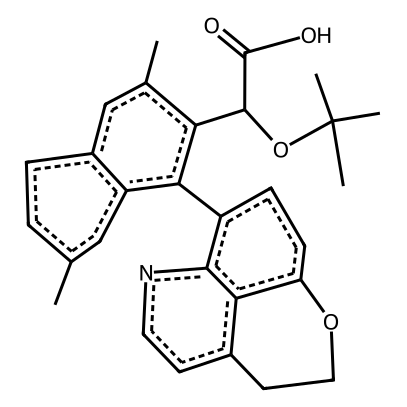 Cc1ccc2cc(C)c(C(OC(C)(C)C)C(=O)O)c(-c3ccc4c5c(ccnc35)CCO4)c2c1